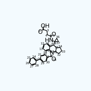 O=C(O)CCC(=O)NC1(C2c3ccccc3N(C(=O)c3ccc(-c4ccccc4)cc3)C3CCCC32)CC1